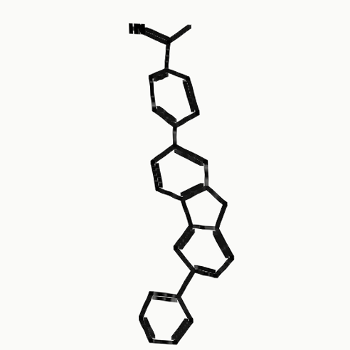 CC(=N)c1ccc(-c2ccc3c(c2)Cc2ccc(-c4ccccc4)cc2-3)cc1